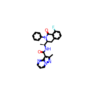 Cc1nn2cccnc2c1C(=O)N[C@@H](C)C1Cc2cccc(F)c2C(=O)N1c1ccccc1